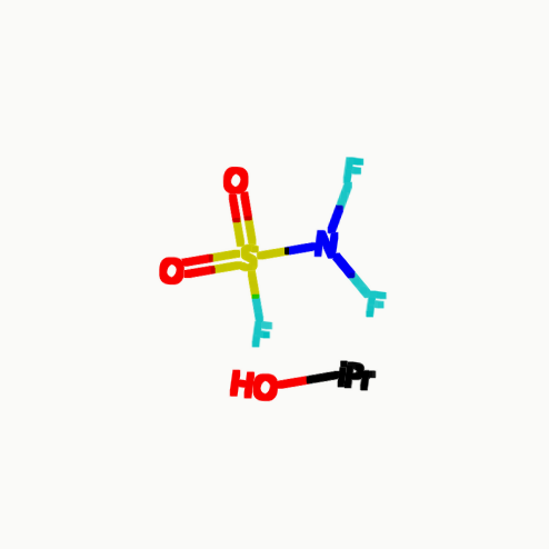 CC(C)O.O=S(=O)(F)N(F)F